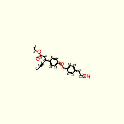 CC#C[C@@H](CC(=O)OCC)c1ccc(OCc2ccc(CCO)cc2)cc1